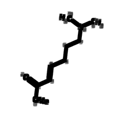 COC(=O)C=CCCCN(C)C